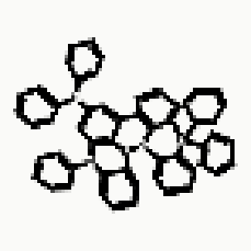 c1ccc(N(c2ccccc2)c2cc3c4c(c2)N(c2ccccc2)c2ccccc2B4N2c4ccccc4[Si](c4ccccc4)(c4ccccc4)c4cccc-3c42)cc1